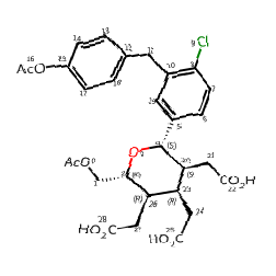 CC(=O)OC[C@@H]1O[C@H](c2ccc(Cl)c(Cc3ccc(OC(C)=O)cc3)c2)[C@@H](CC(=O)O)[C@@H](CC(=O)O)[C@H]1CC(=O)O